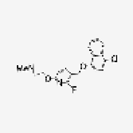 CNCCOc1ccc(COc2ccc(Cl)c3ccccc23)c(F)n1